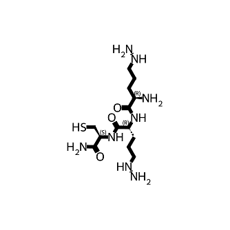 NNCCC[C@@H](N)C(=O)N[C@H](CCCNN)C(=O)N[C@H](CS)C(N)=O